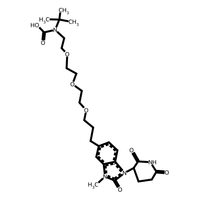 Cn1c(=O)n(C2CCC(=O)NC2=O)c2ccc(CCCOCCOCCOCCN(C(=O)O)C(C)(C)C)cc21